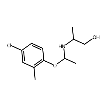 Cc1cc(Cl)ccc1OC(C)NC(C)CO